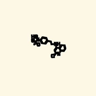 CS(=O)(=O)N(O)c1ccc(CCNc2cc(Cl)nc3ccccc23)cc1